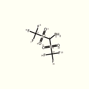 BC(S(=O)(=O)C(F)(F)F)S(=O)(=O)C(F)(F)F